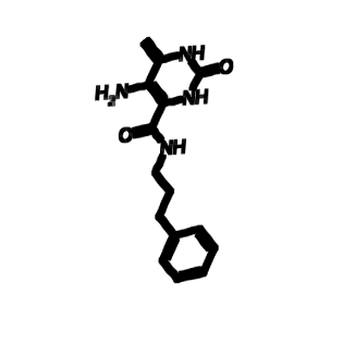 C=C1NC(=O)NC(C(=O)NCCCc2ccccc2)=C1N